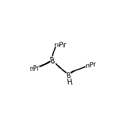 CCCBB(CCC)CCC